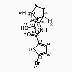 O=C(N[C@@H]1C[C@H]2CC[C@@H]1N2C(=O)O)c1ccc(Br)s1